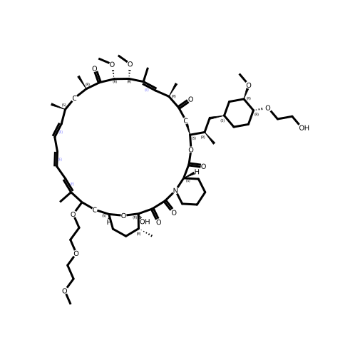 COCCOCCOC1C[C@@H]2CC[C@@H](C)[C@@](O)(O2)C(=O)C(=O)N2CCCC[C@H]2C(=O)O[C@H]([C@H](C)C[C@@H]2CC[C@@H](OCCO)[C@H](OC)C2)CC(=O)[C@H](C)/C=C(\C)[C@@H](OC)[C@@H](OC)C(=O)[C@H](C)C[C@H](C)/C=C/C=C/C=C/1C